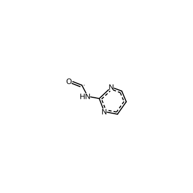 O=[C]Nc1ncccn1